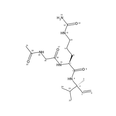 C=C[C@](C)(NC(=O)[C@H](CCCNC(N)=O)NC(=O)CNC(C)=O)C(C)C